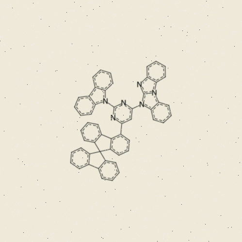 c1ccc2c(c1)-c1ccccc1C21c2ccccc2-c2c(-c3cc(-n4c5ccccc5n5c6ccccc6nc45)nc(-n4c5ccccc5c5ccccc54)n3)cccc21